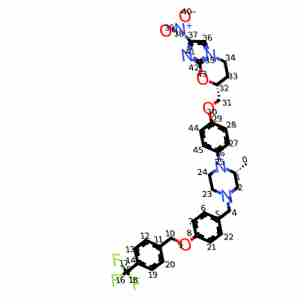 C[C@@H]1CN(Cc2ccc(OCc3ccc(C(F)(F)F)cc3)cc2)CCN1c1ccc(OC[C@H]2CCn3cc([N+](=O)[O-])nc3O2)cc1